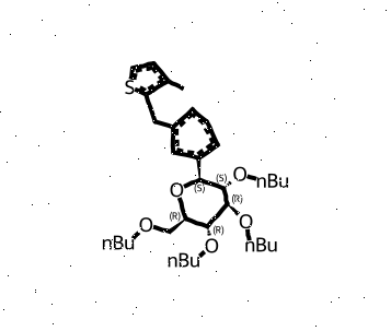 CCCCOC[C@H]1O[C@@H](c2cccc(Cc3sccc3C)c2)[C@H](OCCCC)[C@@H](OCCCC)[C@@H]1OCCCC